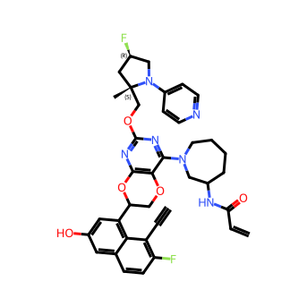 C#Cc1c(F)ccc2cc(O)cc(C3COc4c(nc(OC[C@]5(C)C[C@@H](F)CN5c5ccncc5)nc4N4CCCCC(NC(=O)C=C)C4)O3)c12